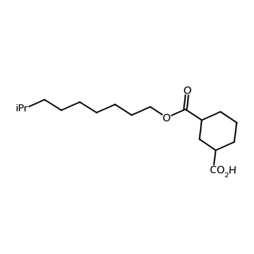 CC(C)CCCCCCCOC(=O)C1CCCC(C(=O)O)C1